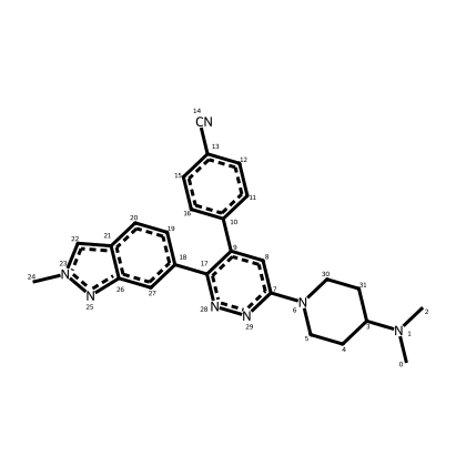 CN(C)C1CCN(c2cc(-c3ccc(C#N)cc3)c(-c3ccc4cn(C)nc4c3)nn2)CC1